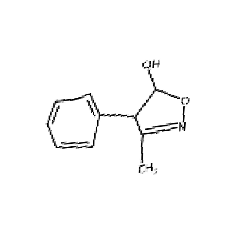 CC1=NOC(O)C1c1ccccc1